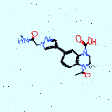 CNC(=O)Cn1cc(-c2ccc3c(c2)N(C(=O)O)C[C@H](C)N3C(C)=O)cn1